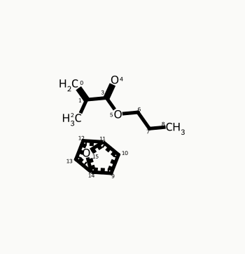 C=C(C)C(=O)OCCC.c1cc2ccc1o2